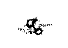 C=CC(=O)O.CCCC(C)c1ccccc1-c1ccccc1